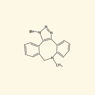 CCC(C)n1nnc2c1-c1ccccc1CN(C)c1ccccc1-2